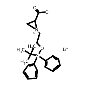 CC(C)(C)[Si](OCC[N@@]1CC1C(=O)[O-])(c1ccccc1)c1ccccc1.[Li+]